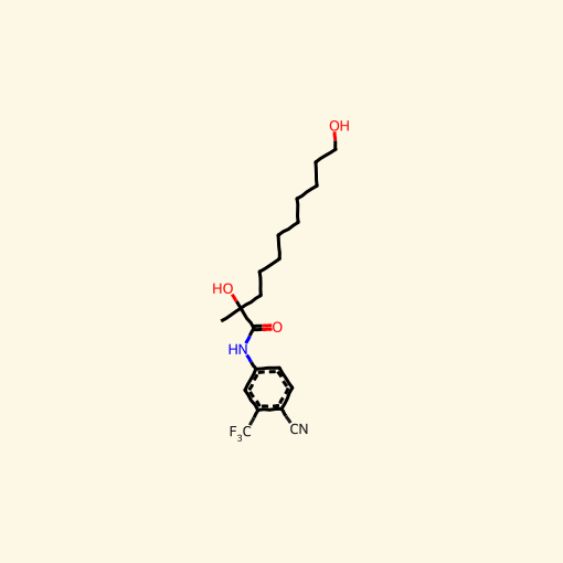 CC(O)(CCCCCCCCCO)C(=O)Nc1ccc(C#N)c(C(F)(F)F)c1